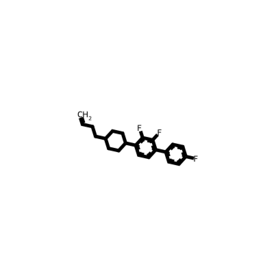 C=CCCC1CCC(c2ccc(-c3ccc(F)cc3)c(F)c2F)CC1